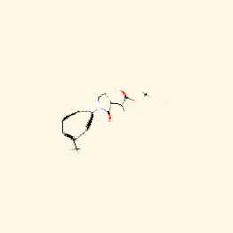 CC(C(=O)OC(C)(C)C)C1CCN(c2cccc(C(F)(F)F)c2)C1=O